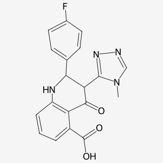 Cn1cnnc1C1C(=O)c2c(cccc2C(=O)O)NC1c1ccc(F)cc1